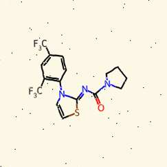 O=C(N=c1sccn1-c1ccc(C(F)(F)F)cc1C(F)(F)F)N1CCCC1